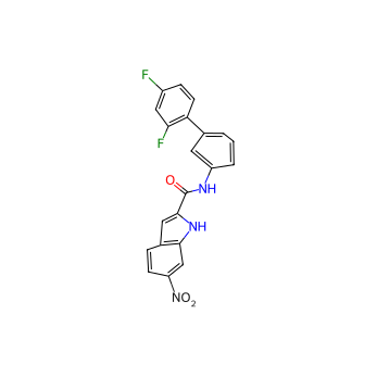 O=C(Nc1cccc(-c2ccc(F)cc2F)c1)c1cc2ccc([N+](=O)[O-])cc2[nH]1